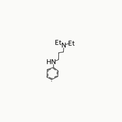 CCN(CC)CCCNc1cc[c]cc1